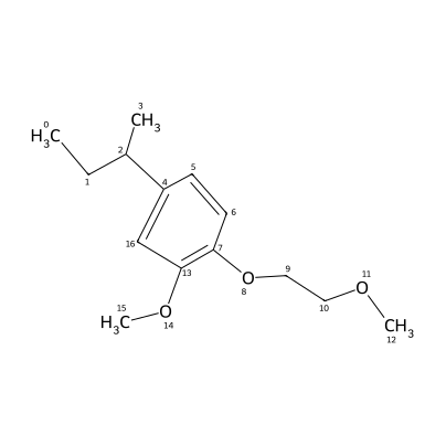 CCC(C)c1ccc(OCCOC)c(OC)c1